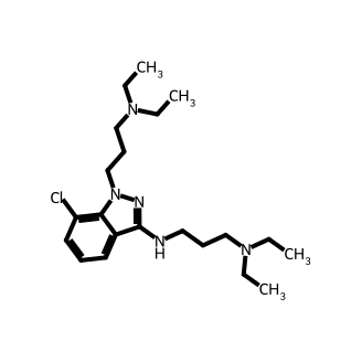 CCN(CC)CCCNc1nn(CCCN(CC)CC)c2c(Cl)cccc12